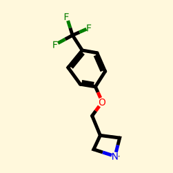 FC(F)(F)c1ccc(OCC2C[N]C2)cc1